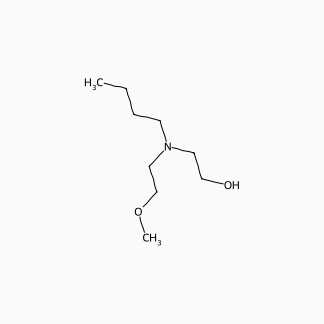 CCCCN(CCO)CCOC